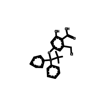 CC(C)(C)[Si](Oc1cc(O)c(C(=O)O)c(CCl)c1)(c1ccccc1)c1ccccc1